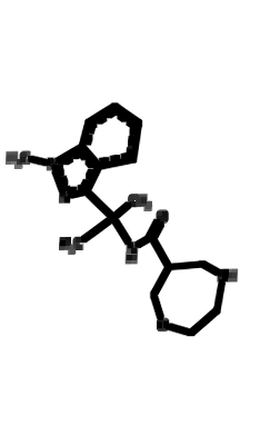 Cn1nc(C(C)(C)NC(=O)C2CNCCOC2)c2ccccc21